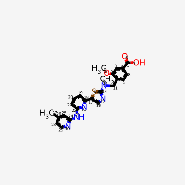 COc1cc(C(=O)O)ccc1CN(C)c1ncc(-c2cccc(Nc3cc(C)ccn3)n2)s1